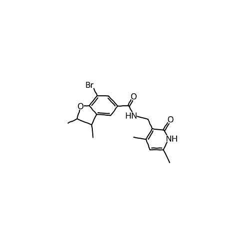 Cc1cc(C)c(CNC(=O)c2cc(Br)c3c(c2)C(C)C(C)O3)c(=O)[nH]1